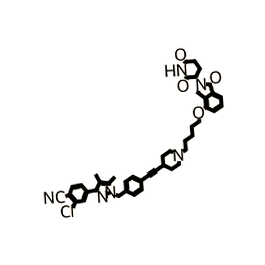 Cc1c(-c2ccc(C#N)c(Cl)c2)nn(Cc2ccc(C#CC3CCN(CCCCCOc4cccc5c4CN(C4CCC(=O)NC4=O)C5=O)CC3)cc2)c1C